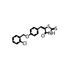 O=C1NC(=S)S/C1=C/c1ccc(OCc2ccccc2Cl)cc1